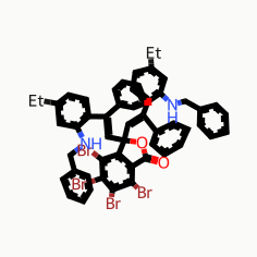 CCc1ccc(C(=CC2(C=C(c3ccccc3)c3ccc(CC)cc3NCc3ccccc3)OC(=O)c3c(Br)c(Br)c(Br)c(Br)c32)c2ccccc2)c(NCc2ccccc2)c1